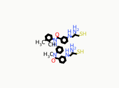 CN(C(=O)c1cccc(NC[C@@H](N)CS)c1)c1ccccc1.Cc1cccc(NC(=O)c2cccc(NC[C@@H](N)CS)c2)c1C